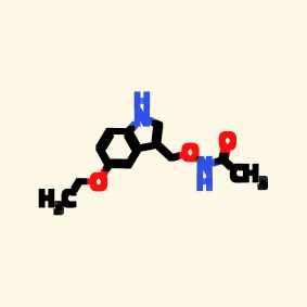 CCOc1ccc2[nH]cc(CONC(C)=O)c2c1